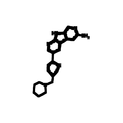 Nc1cc2c(cn1)[nH]c1ncc(-c3ccc(CN4CCCCC4)cn3)cc12